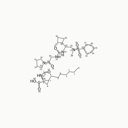 CCCCCCCC1C[C@]1(NC(=O)[C@@H]1CCCN1C(=O)CNC(=O)NC(CN(C)S(=O)(=O)c1ccccc1)C1CCC1)C(=O)O